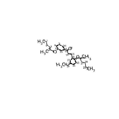 CCCCC(C)Oc1cccc(C(=O)C=Cc2cc(CC)ccc2OC(C)CCCC)c1